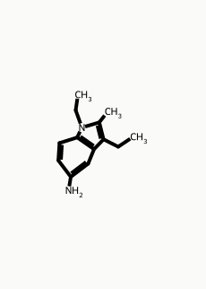 CCc1c(C)n(CC)c2ccc(N)cc12